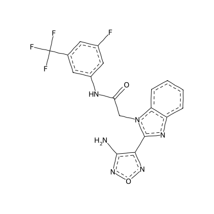 Nc1nonc1-c1nc2ccccc2n1CC(=O)Nc1cc(F)cc(C(F)(F)F)c1